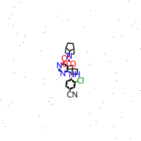 Cc1c(Nc2ccc(C#N)cc2Cl)ncnc1OCC1C2CCC1CN(C(=O)OC1(C)CCC1)C2